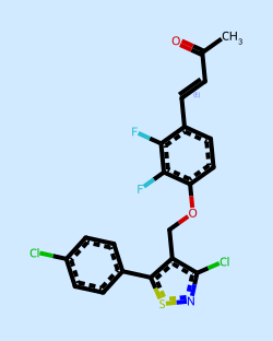 CC(=O)/C=C/c1ccc(OCc2c(Cl)nsc2-c2ccc(Cl)cc2)c(F)c1F